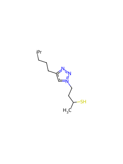 CC(C)CCCc1cn(CCC(C)S)nn1